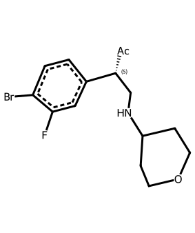 CC(=O)[C@H](CNC1CCOCC1)c1ccc(Br)c(F)c1